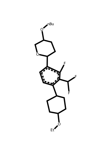 CCCCOC1CCC(c2ccc(C3CCC(OCC)CC3)c(C(F)F)c2F)OC1